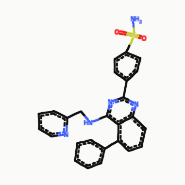 NS(=O)(=O)c1ccc(-c2nc(NCc3ccccn3)c3c(-c4ccccc4)cccc3n2)cc1